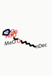 CCCCCCCCCCCCCCCCCCOCC(COP(=O)(O)OC1CC2CCC(C1)[N+]2(C)C)OC